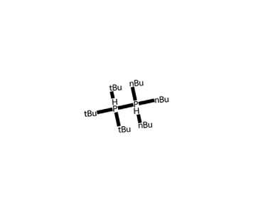 CCCC[PH](CCCC)(CCCC)[PH](C(C)(C)C)(C(C)(C)C)C(C)(C)C